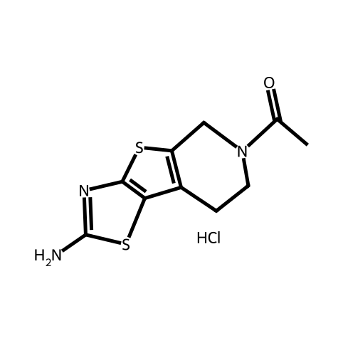 CC(=O)N1CCc2c(sc3nc(N)sc23)C1.Cl